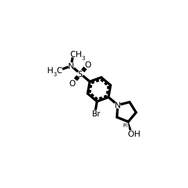 CN(C)S(=O)(=O)c1ccc(N2CC[C@@H](O)C2)c(Br)c1